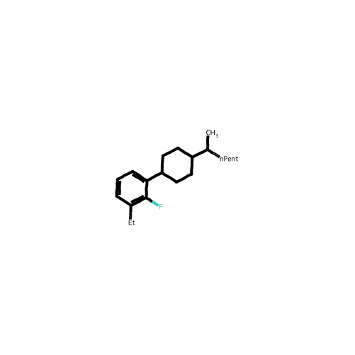 CCCCCC(C)C1CCC(c2cccc(CC)c2F)CC1